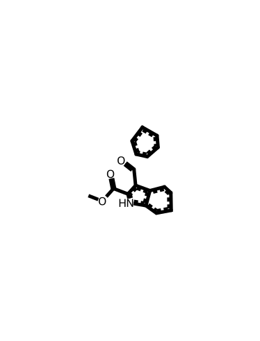 COC(=O)c1[nH]c2ccccc2c1C=O.c1ccccc1